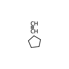 C#C.C1CCCC1